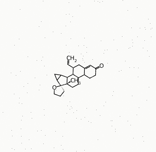 C=CC1CC2=CC(=O)CCC2C2CC[C@@]3(C)C(C4CC4[C@@]34CCCO4)C12